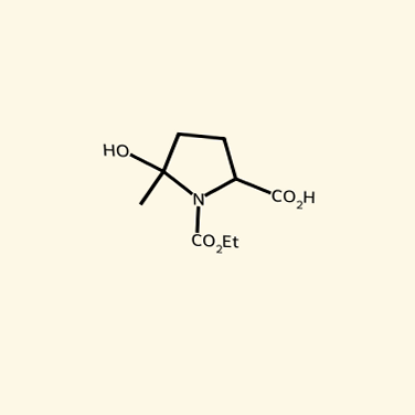 CCOC(=O)N1C(C(=O)O)CCC1(C)O